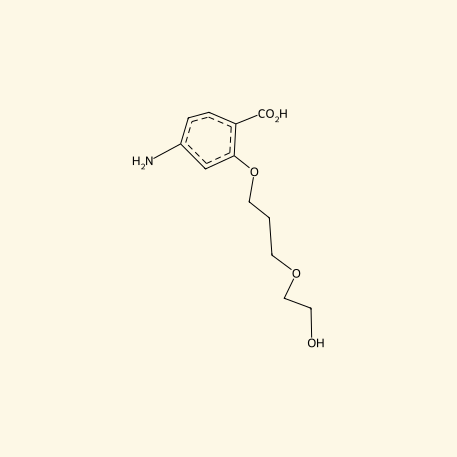 Nc1ccc(C(=O)O)c(OCCCOCCO)c1